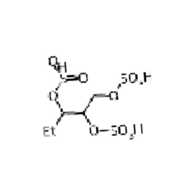 CCC(O[SH](=O)=O)C(COS(=O)(=O)O)OS(=O)(=O)O